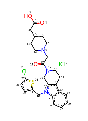 Cl.O=C(O)CC1CCN(CC(=O)N2CCc3c(n(Cc4ccc(Cl)s4)c4ccccc34)C2)CC1